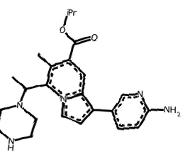 Cc1c(C(=O)OC(C)C)cc2c(-c3ccc(N)nc3)ccn2c1C(C)N1CCNCC1